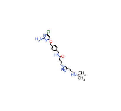 CC(C)NCCCc1cn(CCCC(=O)NCc2ccc(COc3cc(Cl)nc(N)n3)cc2)nn1